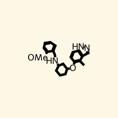 COc1ccccc1CNC1CCCC(Oc2ccc3[nH]ncc3c2C)C1